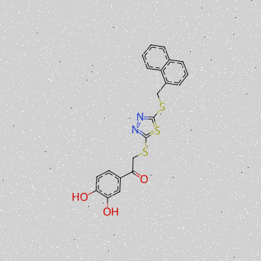 O=C(CSc1nnc(SCc2cccc3ccccc23)s1)c1ccc(O)c(O)c1